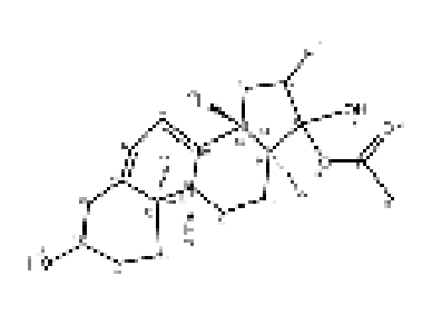 CC(=O)OC1(O)C(F)C[C@H]2C3=CC=C4CC(O)CC[C@]4(C)[C@@H]3CC[C@@]21C